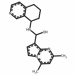 Cc1cc(C)n2ccc(C(O)NC3CCCc4ccncc43)c2n1